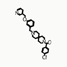 O=C(c1ccc(Cl)cc1)N1CCC2(CCN(Cc3cccc(OCc4cccnc4)c3)CC2)CC1